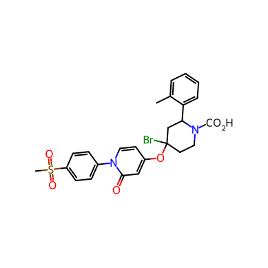 Cc1ccccc1C1CC(Br)(Oc2ccn(-c3ccc(S(C)(=O)=O)cc3)c(=O)c2)CCN1C(=O)O